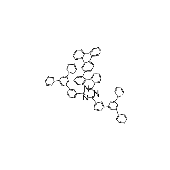 c1ccc(-c2cc(-c3ccccc3)cc(-c3cccc(-c4nc(-c5cccc(-c6cc(-c7ccccc7)cc(-c7ccccc7)c6)c5)nc(-c5ccccc5-c5ccccc5-c5ccc6c7ccccc7c7ccccc7c6c5)n4)c3)c2)cc1